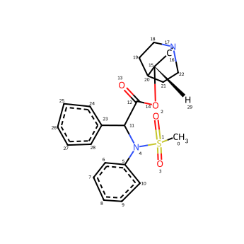 CS(=O)(=O)N(c1ccccc1)C(C(=O)O[C@H]1CN2CCC1CC2)c1ccccc1